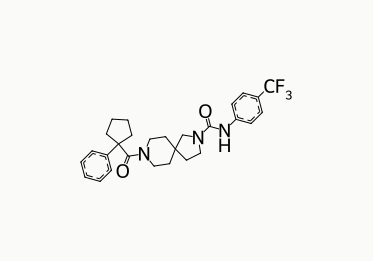 O=C(Nc1ccc(C(F)(F)F)cc1)N1CCC2(CCN(C(=O)C3(c4ccccc4)CCCC3)CC2)C1